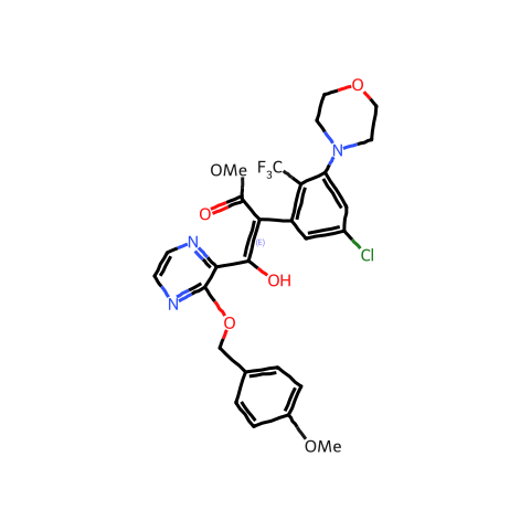 COC(=O)/C(=C(/O)c1nccnc1OCc1ccc(OC)cc1)c1cc(Cl)cc(N2CCOCC2)c1C(F)(F)F